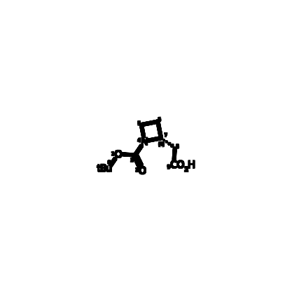 CC(C)(C)OC(=O)N1CC[C@@H]1CC(=O)O